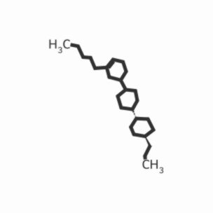 CCCCCC1=CCCC(C2CCC([C@H]3CC[C@H](CCC)CC3)CC2)C1